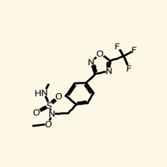 CNS(=O)(=O)N(Cc1ccc(-c2noc(C(F)(F)F)n2)cc1)OC